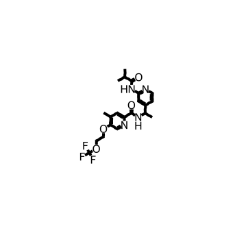 Cc1cc(C(=O)NC(C)c2ccnc(NC(=O)C(C)C)c2)ncc1OCCOC(F)(F)F